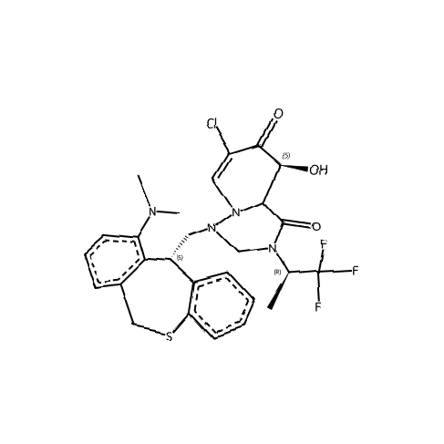 C[C@@H](N1CN(C[C@@H]2c3ccccc3SCc3cccc(N(C)C)c32)N2C=C(Cl)C(=O)[C@@H](O)C2C1=O)C(F)(F)F